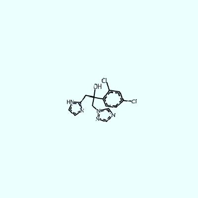 OC(Cc1ncc[nH]1)(Cn1cncn1)c1ccc(Cl)cc1Cl